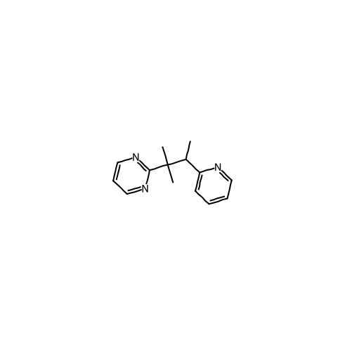 CC(c1ccccn1)C(C)(C)c1ncccn1